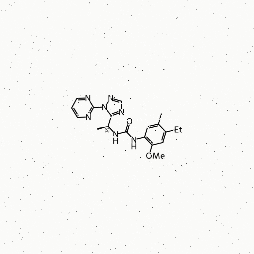 CCc1cc(OC)c(NC(=O)N[C@@H](C)c2ncnn2-c2ncccn2)cc1C